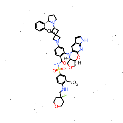 Cc1ccccc1[C@@H]1CCCN1C1CC2(C1)CN(c1ccc(C(=O)NS(=O)(=O)c3ccc(NCC4(F)CCOCC4)c([N+](=O)[O-])c3)c(N3c4cc5cc[nH]c5nc4O[C@H]4COC[C@@H]43)c1)C2